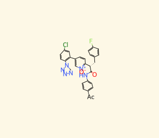 CC(=O)c1ccc(NC(=O)[C@@H](Cc2ccc(F)cc2)c2ccc(-c3cc(Cl)ccc3-n3cnnn3)c[n+]2[O-])cc1